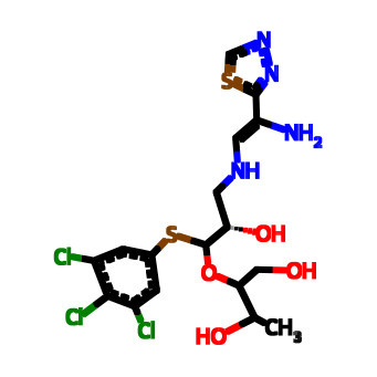 CC(O)C(CO)OC(Sc1cc(Cl)c(Cl)c(Cl)c1)[C@@H](O)CN/C=C(\N)c1nncs1